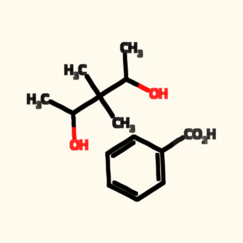 CC(O)C(C)(C)C(C)O.O=C(O)c1ccccc1